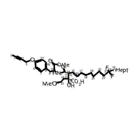 CC#CCOc1ccc(CC(NC(=O)[C@@H](/C=C/CCCCCCC(F)(F)CCCCCCC)[C@@](O)(CCOC)C(=O)O)C(=O)OC)cc1